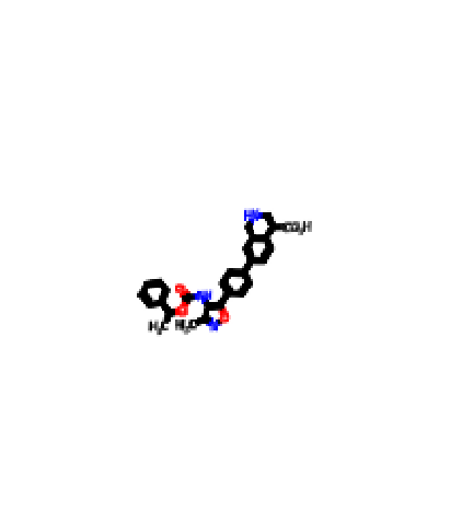 Cc1noc(-c2ccc(-c3ccc4c(c3)CNCC4C(=O)O)cc2)c1NC(=O)OC(C)c1ccccc1